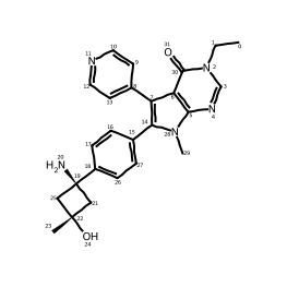 CCn1cnc2c(c(-c3ccncc3)c(-c3ccc([C@]4(N)C[C@](C)(O)C4)cc3)n2C)c1=O